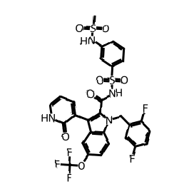 CS(=O)(=O)Nc1cccc(S(=O)(=O)NC(=O)c2c(-c3ccc[nH]c3=O)c3cc(OC(F)(F)F)ccc3n2Cc2cc(F)ccc2F)c1